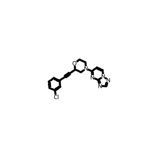 Clc1cccc(C#CC2CN(c3ccn4ncnc4n3)CCO2)c1